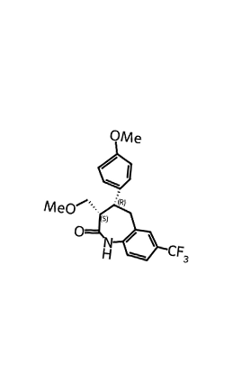 COC[C@H]1C(=O)Nc2ccc(C(F)(F)F)cc2C[C@H]1c1ccc(OC)cc1